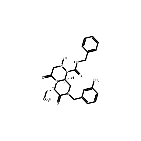 Bc1cccc(CN2C[C@H]3N(C(=O)CN(C)N3C(=O)NCc3ccccc3)[C@@H](CC(=O)O)C2=O)c1